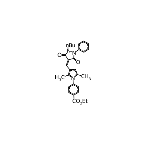 CCCCN1C(=O)C(=Cc2cc(C)n(-c3ccc(C(=O)OCC)cc3)c2C)C(=O)N1c1ccccc1